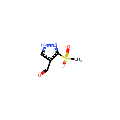 CS(=O)(=O)c1n[nH]cc1C=O